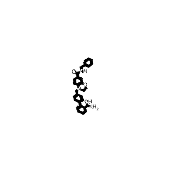 NC(O)c1ccccc1-c1ccc(CN2CCOc3cc(C(=O)NCc4ccccc4)ccc32)cc1